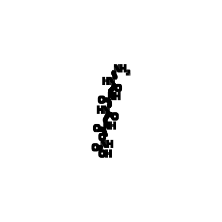 NCCNC(=O)CNC(=O)CNC(=O)CNC(=O)CONC(=O)O